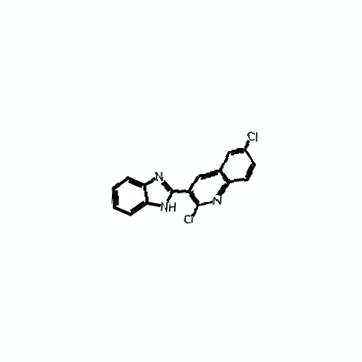 Clc1ccc2nc(Cl)c(-c3nc4ccccc4[nH]3)cc2c1